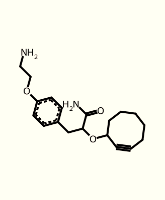 NCCOc1ccc(CC(OC2C#CCCCCC2)C(N)=O)cc1